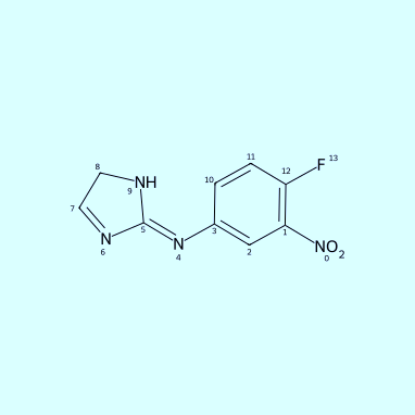 O=[N+]([O-])c1cc(N=C2N=CCN2)ccc1F